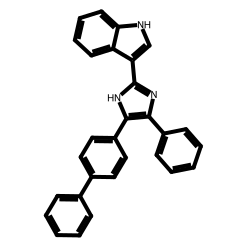 c1ccc(-c2ccc(-c3[nH]c(-c4c[nH]c5ccccc45)nc3-c3ccccc3)cc2)cc1